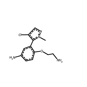 Cn1ncc(Cl)c1-c1cc(N)ccc1OCCN